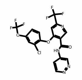 O=C(Nc1ccnnc1)c1cnc(C(F)(F)F)cc1Oc1ccc(OC(F)(F)F)cc1Cl